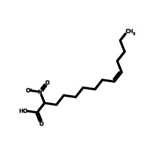 CCCC/C=C\CCCCCCC(C(=O)O)[N+](=O)[O-]